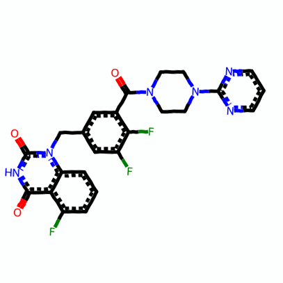 O=C(c1cc(Cn2c(=O)[nH]c(=O)c3c(F)cccc32)cc(F)c1F)N1CCN(c2ncccn2)CC1